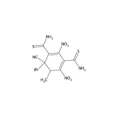 CC(C)C1(C#N)C(C(N)=S)=C([N+](=O)[O-])C(C(N)=S)=C([N+](=O)[O-])C1C